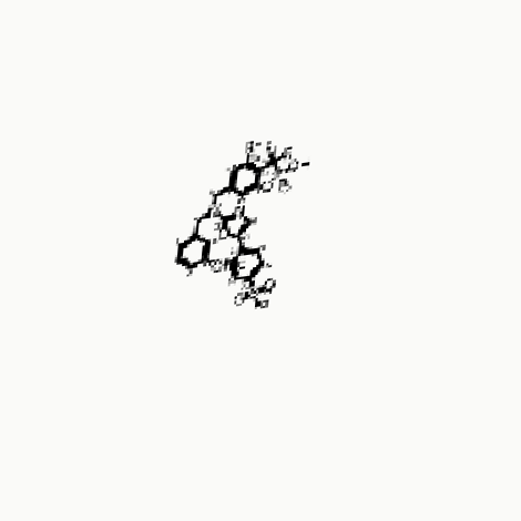 COc1cccc(CN(Cc2ccc(C(F)(F)P(=O)(O)O)c(Br)c2)c2ncc(-c3ccc(S(C)(=O)=O)cc3)o2)c1